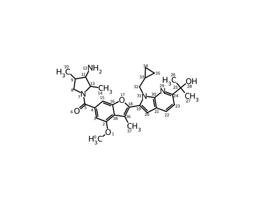 COc1cc(C(=O)N2CC(C)C(N)C2C)cc2oc(-c3cc4ccc(C(C)(C)O)nc4n3CC3CC3)c(C)c12